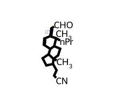 CCCC1(C)/C(=C\C=O)C=CC2C1CCC1(C)C(CCC#N)CCC21